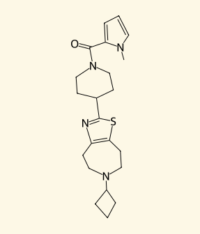 Cn1cccc1C(=O)N1CCC(c2nc3c(s2)CCN(C2CCC2)CC3)CC1